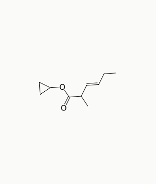 CCC=CC(C)C(=O)OC1CC1